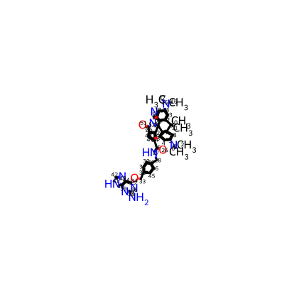 CN(C)c1ccc2c(c1)C(C)(C)c1cc(N(C)C)ccc1C21c2cc(C(=O)NCc3ccc(COc4nc(N)nc5[nH]cnc45)cc3)ccc2C(=O)N1C#N